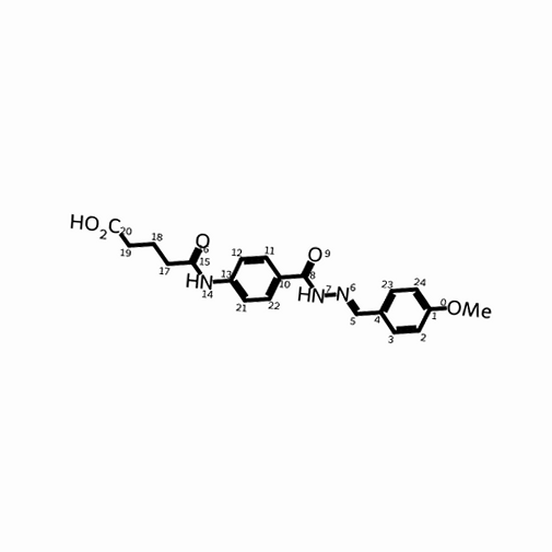 COc1ccc(/C=N/NC(=O)c2ccc(NC(=O)CCCC(=O)O)cc2)cc1